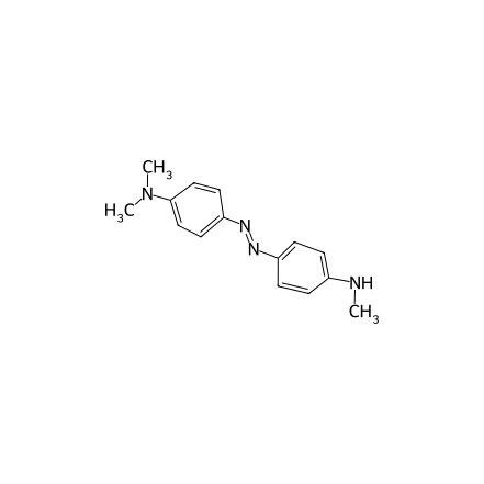 CNc1ccc(N=Nc2ccc(N(C)C)cc2)cc1